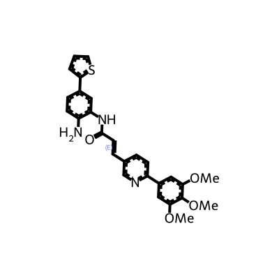 COc1cc(-c2ccc(/C=C/C(=O)Nc3cc(-c4cccs4)ccc3N)cn2)cc(OC)c1OC